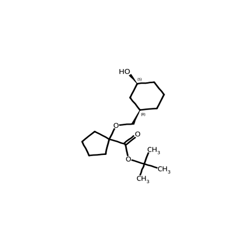 CC(C)(C)OC(=O)C1(OC[C@@H]2CCC[C@H](O)C2)CCCC1